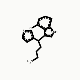 NCCCC(c1ccsc1)c1c[nH]c2cccc(Cl)c12